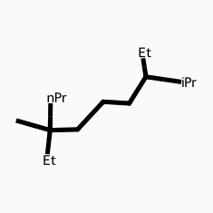 [CH2]C(C)C(CC)CCCC(C)(CC)CCC